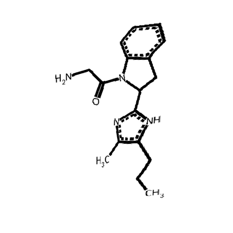 CCCc1[nH]c(C2Cc3ccccc3N2C(=O)CN)nc1C